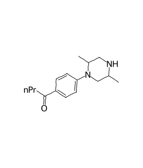 CCCC(=O)c1ccc(N2CC(C)NCC2C)cc1